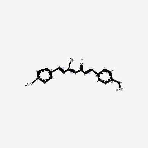 CSc1ccc(/C=C/C(O)=C/C(=O)/C=C/c2ccc(CS)cc2)cc1